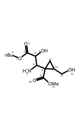 CCCCOC(=O)C(O)C(N)C1(C(=O)OC)CC1CO